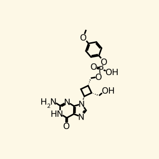 COc1ccc(OP(=O)(O)OC[C@H]2C[C@@H](n3cnc4c(=O)[nH]c(N)nc43)[C@H]2CO)cc1